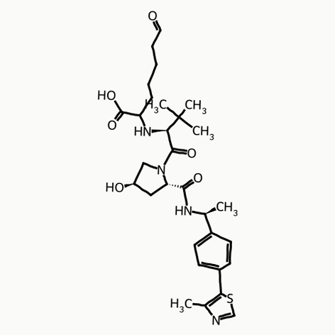 Cc1ncsc1-c1ccc([C@H](C)NC(=O)[C@@H]2C[C@@H](O)CN2C(=O)[C@@H](NC(CCCCC=O)C(=O)O)C(C)(C)C)cc1